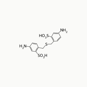 Nc1ccc(CSCc2ccc(N)cc2S(=O)(=O)O)c(S(=O)(=O)O)c1